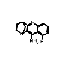 Nc1c2c(nc3cccc(F)c13)C1CCN2CC1